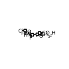 CC1(CC(=O)O)CCc2cc(-c3ccc(NC(=O)Nc4cccc(Cl)c4)c(F)c3)ccc2C1=O